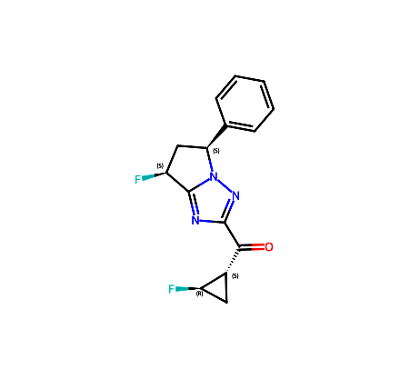 O=C(c1nc2n(n1)[C@H](c1ccccc1)C[C@@H]2F)[C@@H]1C[C@H]1F